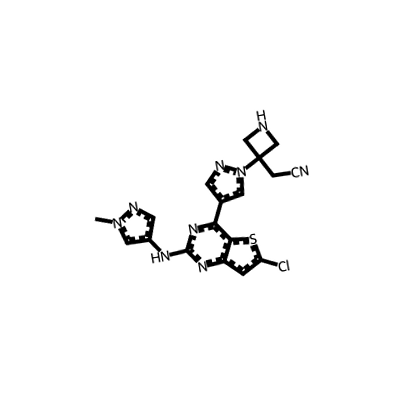 Cn1cc(Nc2nc(-c3cnn(C4(CC#N)CNC4)c3)c3sc(Cl)cc3n2)cn1